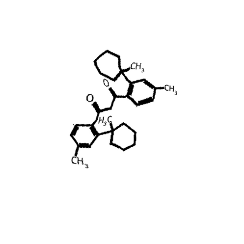 Cc1c[c]c(C(=O)CC(=O)c2[c]cc(C)cc2C2(C)CCCCC2)c(C2(C)CCCCC2)c1